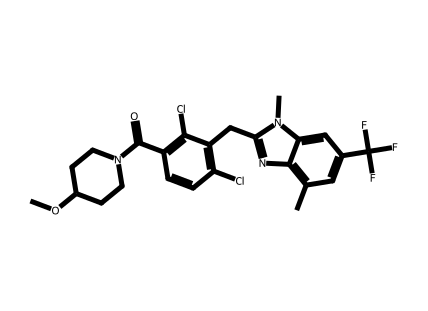 COC1CCN(C(=O)c2ccc(Cl)c(Cc3nc4c(C)cc(C(F)(F)F)cc4n3C)c2Cl)CC1